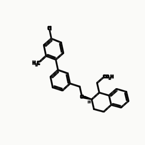 Cc1cc(Cl)ccc1-c1cccc(CO[C@@H]2CCc3ccccc3C2CC(=O)O)c1